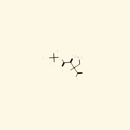 CCC(C)(C(=N)C(=O)OC(C)(C)C)C(=O)O